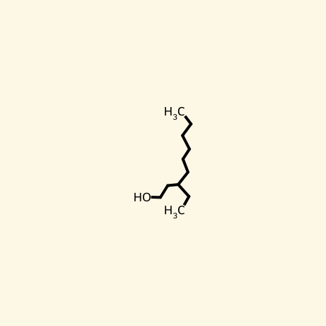 CCCCCCC(CC)CCO